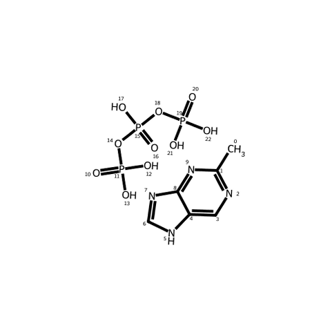 Cc1ncc2[nH]cnc2n1.O=P(O)(O)OP(=O)(O)OP(=O)(O)O